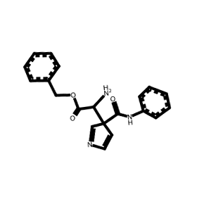 NC(C(=O)OCc1ccccc1)C1(C(=O)Nc2ccccc2)C=CN=C1